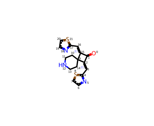 O=C1/C(=C/c2nccs2)C2(CCNCC2)/C1=C\c1nccs1